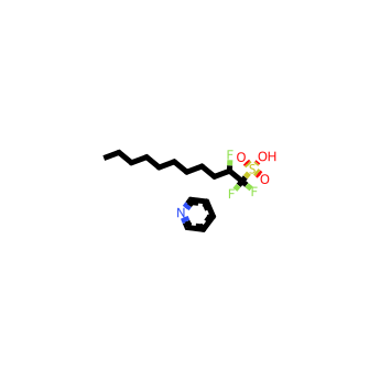 CCCCCCCCCC(F)C(F)(F)S(=O)(=O)O.c1ccncc1